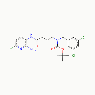 CC(C)(C)OC(=O)N(CCCC(=O)Nc1ccc(F)nc1N)Cc1cc(Cl)cc(Cl)c1